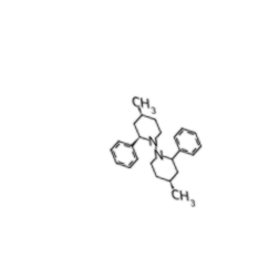 C[C@H]1CCN(N2CC[C@H](C)C[C@@H]2c2ccccc2)C(c2ccccc2)C1